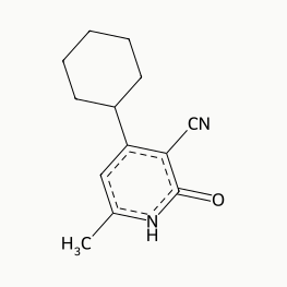 Cc1cc(C2CCCCC2)c(C#N)c(=O)[nH]1